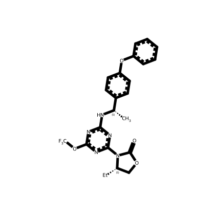 CC[C@H]1COC(=O)N1c1nc(N[C@@H](C)c2ccc(Oc3ccccc3)cc2)nc(OC(F)(F)F)n1